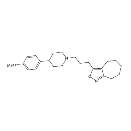 COc1ccc(C2CCN(CCCc3onc4c3CCCCC4)CC2)cc1